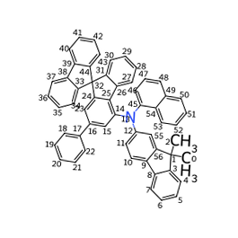 CC1(C)c2ccccc2-c2ccc(N(c3cc(-c4ccccc4)cc4c3-c3ccccc3C43c4ccccc4-c4ccccc43)c3cccc4ccccc34)cc21